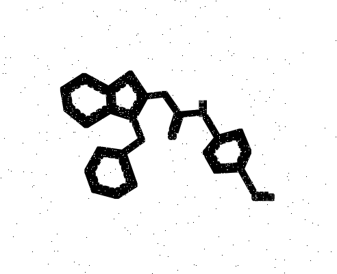 COc1ccc(NC(=O)Cc2cc3ccccc3n2Cc2ccccc2)cc1